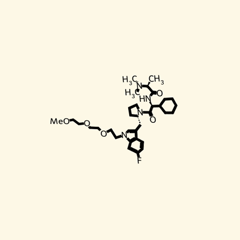 COCCOCCOCCn1cc(C[C@@H]2CCCN2C(=O)[C@@H](NC(=O)[C@H](C)N(C)C)C2CCCCC2)c2ccc(F)cc21